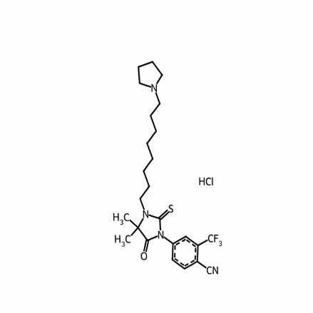 CC1(C)C(=O)N(c2ccc(C#N)c(C(F)(F)F)c2)C(=S)N1CCCCCCCCN1CCCC1.Cl